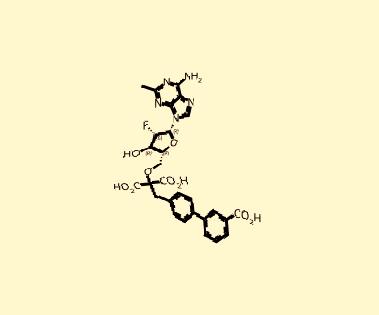 Cc1nc(N)c2ncn([C@@H]3O[C@H](COC(Cc4ccc(-c5cccc(C(=O)O)c5)cc4)(C(=O)O)C(=O)O)[C@@H](O)[C@@H]3F)c2n1